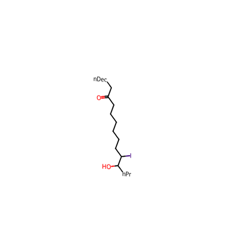 CCCCCCCCCCCC(=O)CCCCCCC(I)C(O)CCC